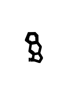 C1=C2NCCC2Cc2ccccc21